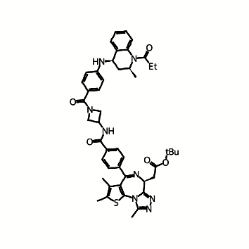 CCC(=O)N1c2ccccc2[C@H](Nc2ccc(C(=O)N3CC(NC(=O)c4ccc(C5=N[C@@H](CC(=O)OC(C)(C)C)c6nnc(C)n6-c6sc(C)c(C)c65)cc4)C3)cc2)C[C@@H]1C